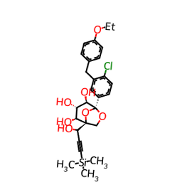 CCOc1ccc(Cc2cc([C@]34OC[C@@](C(O)C#C[Si](C)(C)C)(O3)[C@@H](O)[C@H](O)[C@H]4O)ccc2Cl)cc1